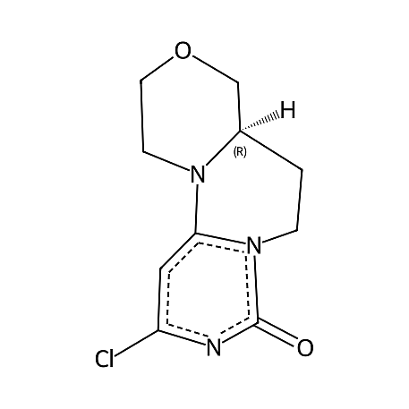 O=c1nc(Cl)cc2n1CC[C@@H]1COCCN21